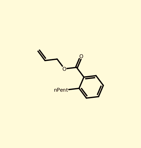 C=CCOC(=O)c1ccccc1CCCCC